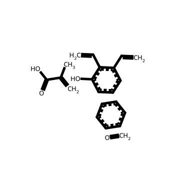 C=C(C)C(=O)O.C=Cc1cccc(O)c1C=C.C=O.c1ccccc1